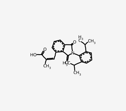 CC(=Cc1cccc2c1C(=O)N(c1c(C(C)C)cccc1C(C)C)C2=O)C(=O)O